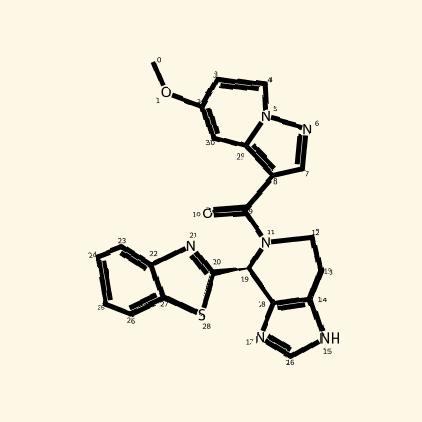 COc1ccn2ncc(C(=O)N3CCc4[nH]cnc4[C@H]3c3nc4ccccc4s3)c2c1